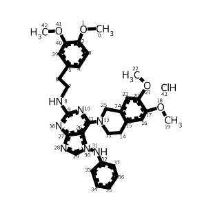 COc1ccc(CCNc2nc(N3CCc4cc(OC)c(OC)cc4C3)c3c(ncn3Nc3ccccc3)n2)cc1OC.Cl